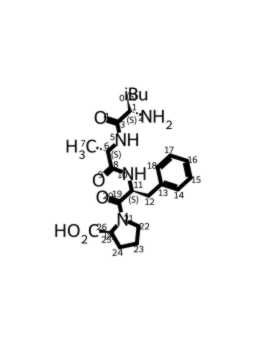 CC[C@H](C)[C@H](N)C(=O)N[C@@H](C)C(=O)N[C@@H](Cc1ccccc1)C(=O)N1CCC[C@H]1C(=O)O